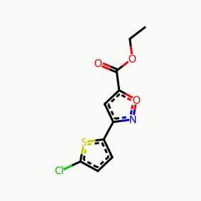 CCOC(=O)c1cc(-c2ccc(Cl)s2)no1